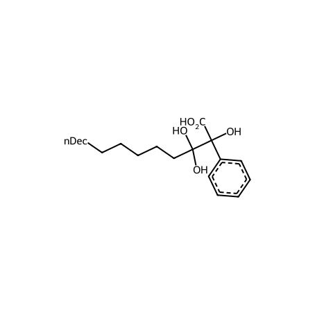 CCCCCCCCCCCCCCCC(O)(O)C(O)(C(=O)O)c1ccccc1